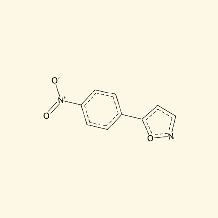 O=[N+]([O-])c1ccc(-c2ccno2)cc1